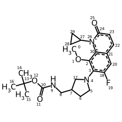 COc1c(N2CCC(CNC(=O)OC(C)(C)C)C2)c(F)cc2ccc(=O)n(C3CC3)c12